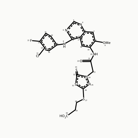 COc1cc2ncnc(Nc3ccc(F)c(Cl)c3)c2cc1NC(=O)Cn1nc(SCCC(=O)O)sc1=S